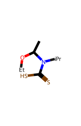 CCOC(C)N(C(=S)S)C(C)C